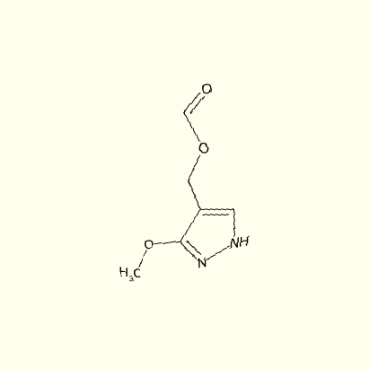 COc1n[nH]cc1COC=O